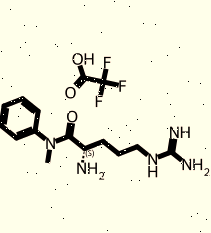 CN(C(=O)[C@@H](N)CCCNC(=N)N)c1ccccc1.O=C(O)C(F)(F)F